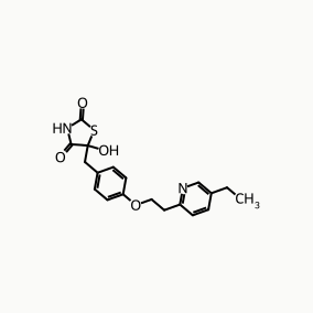 CCc1ccc(CCOc2ccc(CC3(O)SC(=O)NC3=O)cc2)nc1